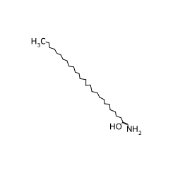 CCCCCCCCCCCCCCCCCCCCCCCCCCC(O)=CN